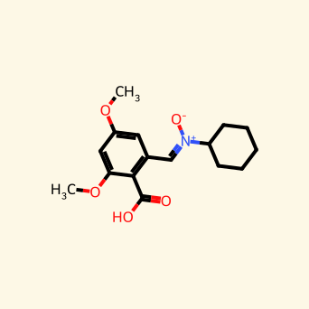 COc1cc(C=[N+]([O-])C2CCCCC2)c(C(=O)O)c(OC)c1